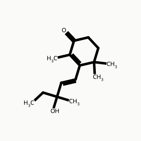 CCC(C)(O)C=CC1=C(C)C(=O)CCC1(C)C